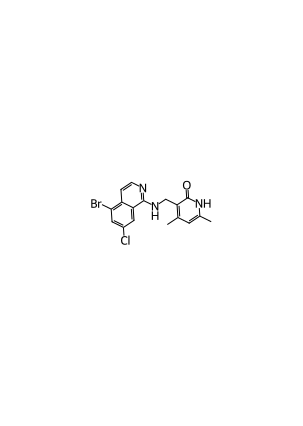 Cc1cc(C)c(CNc2nccc3c(Br)cc(Cl)cc23)c(=O)[nH]1